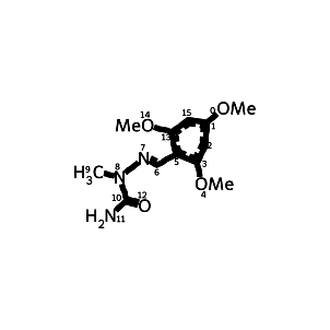 COc1cc(OC)c(C=NN(C)C(N)=O)c(OC)c1